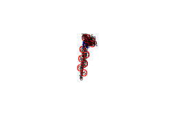 CCCCC(=O)CCC(=O)CCC(=O)CCC(=O)CCC(=O)CCC(=O)CCN(CCC[Si](OCC)(OCC)OCC)CCC[Si](OCC)(OCC)OCC